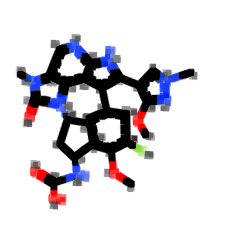 COc1ccc(-c2c(-c3cn(C)nc3OC)[nH]c3ncc4c(c23)n([C@@H]2CC[C@@H](NC(=O)O)C2)c(=O)n4C)cc1F